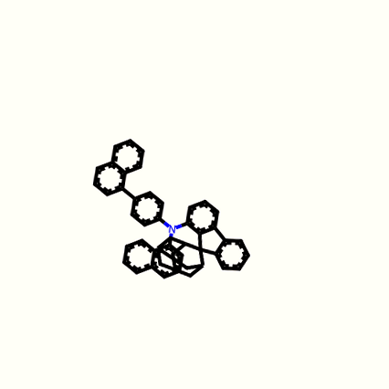 c1ccc2c(c1)-c1cccc(N(c3ccc(-c4cccc5ccccc45)cc3)c3cccc4ccccc34)c1C21C2CC3CC(C2)CC1C3